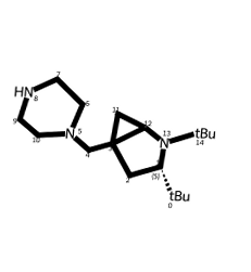 CC(C)(C)[C@@H]1CC2(CN3CCNCC3)CC2N1C(C)(C)C